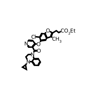 CCOC(=O)CCc1oc2cc(Cl)c(Oc3ccncc3C(=O)N3CCN(C4CC4)c4ccccc43)cc2c1C